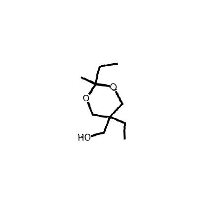 CCC1(CO)COC(C)(CC)OC1